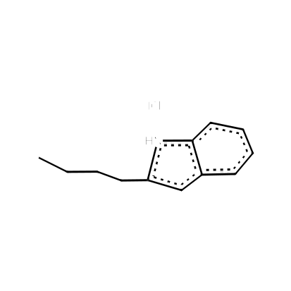 CCCCc1cc2ccccc2[nH]1.Cl